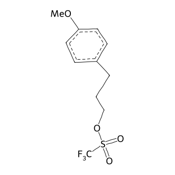 COc1ccc(CCCOS(=O)(=O)C(F)(F)F)cc1